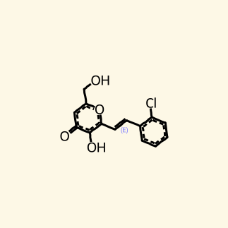 O=c1cc(CO)oc(/C=C/c2ccccc2Cl)c1O